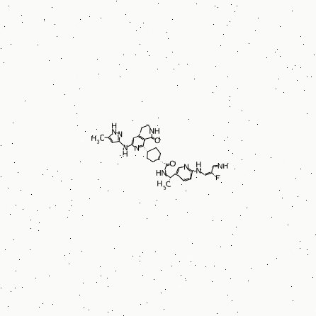 Cc1cc(Nc2cc3c(c([C@H]4CC[C@@H](C(=O)N[C@@H](C)c5ccc(N/C=C(/F)C=N)nc5)CC4)n2)C(=O)NCC3)n[nH]1